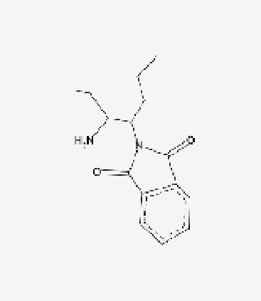 [CH2]CC(N)C(CCC)N1C(=O)c2ccccc2C1=O